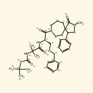 CN1CC(c2ccccc2)C2(CCCN(C(=O)[C@@H](COCc3ccccc3)NC(=O)C(C)(C)NC(=O)OC(C)(C)C)CC2)C1=O